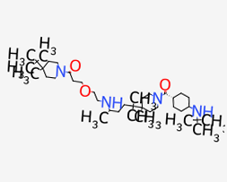 CC(CCC(C)(C)C1(C)CCN(C(=O)[C@H]2CC[C@H](NC(C)(C)C)CC2)CC1)NCCOCCC(=O)N1CCC(C)(C(C)(C)C)CC1